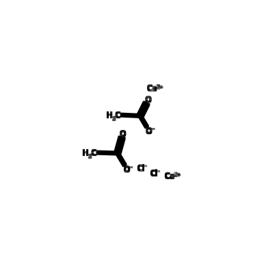 CC(=O)[O-].CC(=O)[O-].[Ca+2].[Ca+2].[Cl-].[Cl-]